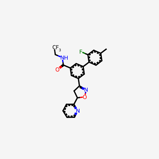 Cc1ccc(-c2cc(C(=O)NCC(F)(F)F)cc(C3=NOC(c4ccccn4)C3)c2)c(F)c1